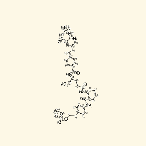 CCOP(=O)(OCC)OCCc1ccc(NC(=O)c2ccccc2NC(=O)CC[C@H](NC(=O)c2ccc(NCc3cnc4[nH]c(N)nc(=O)c4n3)cc2)C(=O)O)cc1